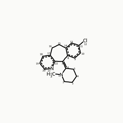 CN1CCCC/C1=C1\c2ccc(Cl)cc2CCc2cccnc21